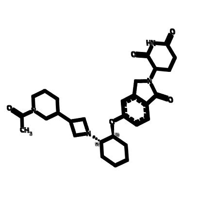 CC(=O)N1CCCC(C2CN([C@H]3CCCC[C@@H]3Oc3ccc4c(c3)CN(C3CCC(=O)NC3=O)C4=O)C2)C1